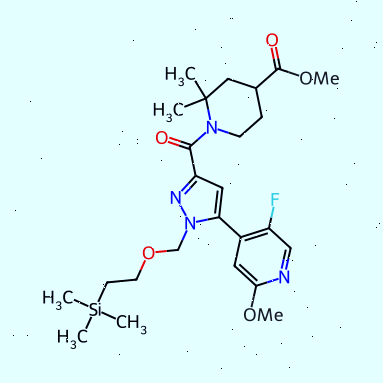 COC(=O)C1CCN(C(=O)c2cc(-c3cc(OC)ncc3F)n(COCC[Si](C)(C)C)n2)C(C)(C)C1